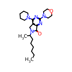 CCCCCCC(C)N1Cc2c(nc(N3CCOCC3)nc2N2CCCCC2)C1=O